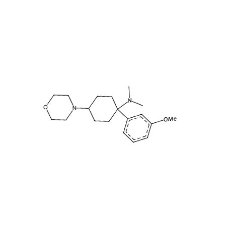 COc1cccc(C2(N(C)C)CCC(N3CCOCC3)CC2)c1